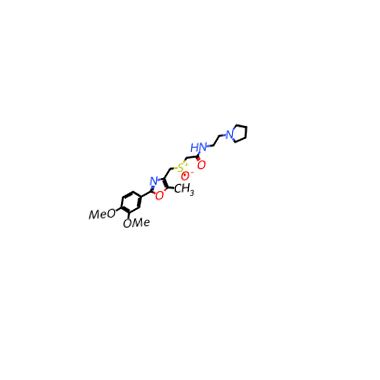 COc1ccc(-c2nc(C[S+]([O-])CC(=O)NCCN3CCCC3)c(C)o2)cc1OC